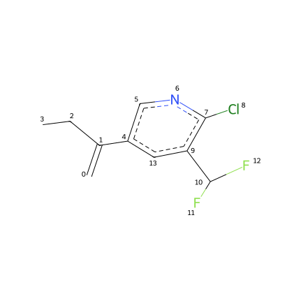 C=C(CC)c1cnc(Cl)c(C(F)F)c1